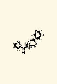 c1cncc(Nc2nc3cnc(-c4cccnc4)cn3n2)c1